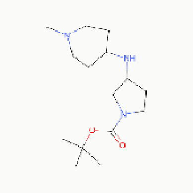 CN1CCC(NC2CCN(C(=O)OC(C)(C)C)C2)CC1